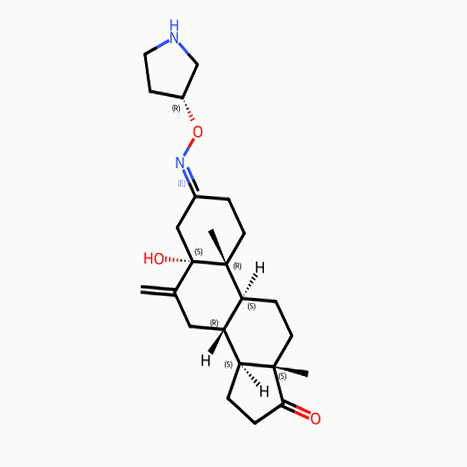 C=C1C[C@H]2[C@@H]3CCC(=O)[C@@]3(C)CC[C@@H]2[C@@]2(C)CC/C(=N\O[C@@H]3CCNC3)C[C@]12O